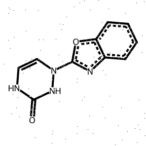 O=C1NC=CN(c2nc3ccccc3o2)N1